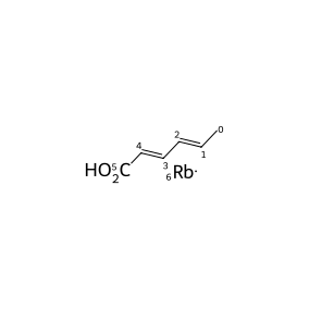 CC=CC=CC(=O)O.[Rb]